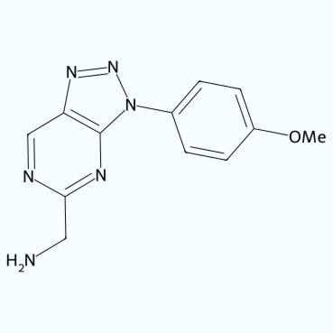 COc1ccc(-n2nnc3cnc(CN)nc32)cc1